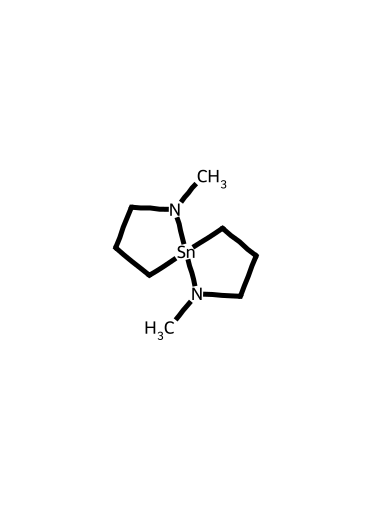 C[N]1CC[CH2][Sn]12[CH2]CC[N]2C